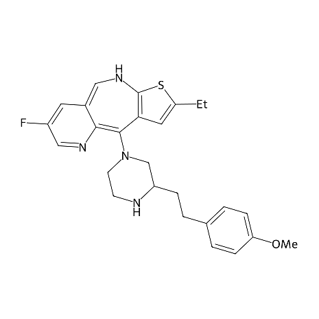 CCc1cc2c(s1)NC=c1cc(F)cnc1=C2N1CCNC(CCc2ccc(OC)cc2)C1